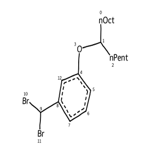 CCCCCCCCC(CCCCC)Oc1cccc(C(Br)Br)c1